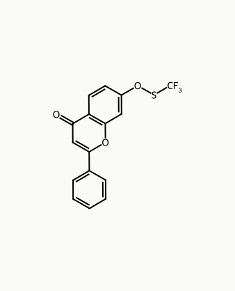 O=c1cc(-c2ccccc2)oc2cc(OSC(F)(F)F)ccc12